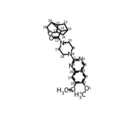 COc1cc2cnc(N3CCN(C(=O)C4C5CC6OCC4C6C5)CC3)nc2cc1OC